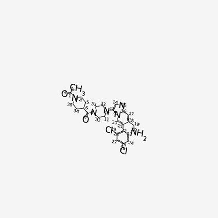 CC(=O)N1CCC(C(=O)N2CCN(c3cnc4cc(CN)c(-c5ccc(Cl)cc5Cl)cn34)CC2)CC1